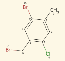 Cc1cc(Cl)c(CBr)cc1Br